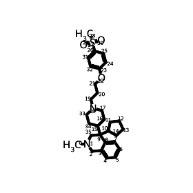 CN1Cc2ccccc2C(C2CCCC2)(C2CCN(CCCOc3ccc(S(C)(=O)=O)cc3)CC2)C1